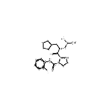 O=CN(O)C[C@@H](CC1CCCC1)C(=O)N1NCC[C@H]1C(=O)Nc1ccccc1F